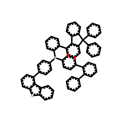 c1ccc(-c2ccccc2-c2ccc(N(c3ccc(-c4cccc5oc6ccccc6c45)cc3)c3ccccc3-c3cccc4c3-c3ccccc3C4(c3ccccc3)c3ccccc3)cc2)cc1